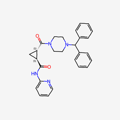 O=C(Nc1ccccn1)[C@H]1C[C@@H]1C(=O)N1CCN(C(c2ccccc2)c2ccccc2)CC1